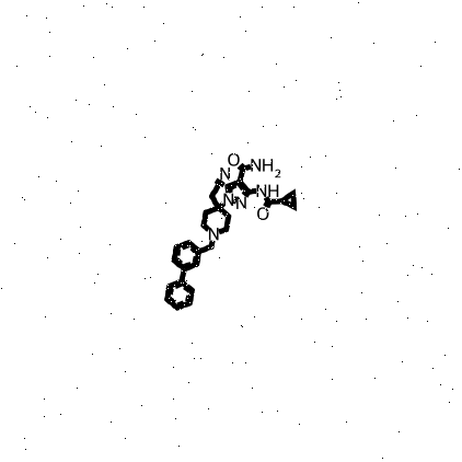 N#CCC1(n2cc(C(N)=O)c(NC(=O)C3CC3)n2)CCN(Cc2cccc(-c3ccccc3)c2)CC1